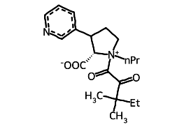 CCC[N+]1(C(=O)C(=O)C(C)(C)CC)CCC(c2cccnc2)[C@H]1C(=O)[O-]